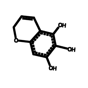 Oc1cc2c(c(O)c1O)C=CCO2